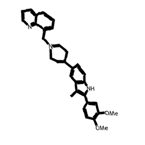 COc1ccc(-c2[nH]c3ccc(C4CCN(Cc5cccc6cccnc56)CC4)cc3c2C)cc1OC